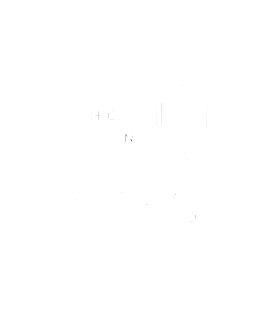 CN1c2ccccc2CC(=O)Cc2ccccc21